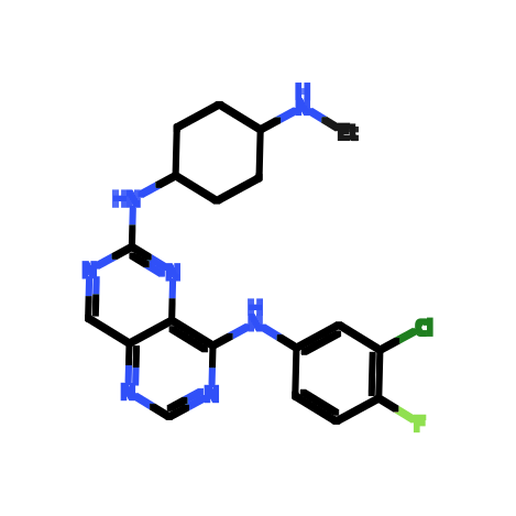 CCNC1CCC(Nc2ncc3ncnc(Nc4ccc(F)c(Cl)c4)c3n2)CC1